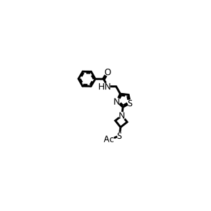 CC(=O)SC1CN(c2nc(CNC(=O)c3ccccc3)cs2)C1